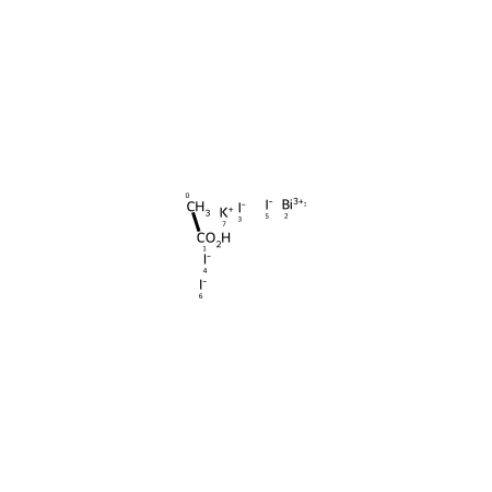 CC(=O)O.[Bi+3].[I-].[I-].[I-].[I-].[K+]